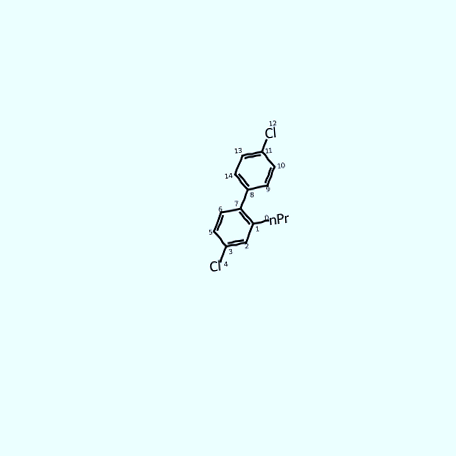 CCCc1cc(Cl)ccc1-c1ccc(Cl)cc1